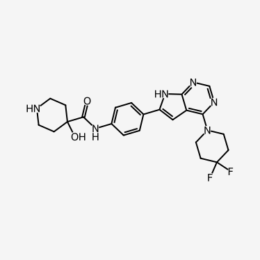 O=C(Nc1ccc(-c2cc3c(N4CCC(F)(F)CC4)ncnc3[nH]2)cc1)C1(O)CCNCC1